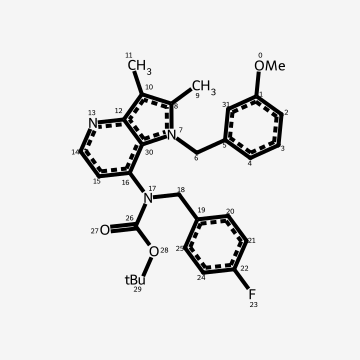 COc1cccc(Cn2c(C)c(C)c3nccc(N(Cc4ccc(F)cc4)C(=O)OC(C)(C)C)c32)c1